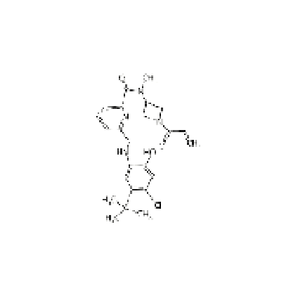 C=CC(=O)N1CC(N(C)C(=O)c2cccc(CNc3cc(C(C)(C)C)c(Cl)cc3O)n2)C1